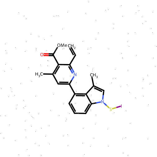 C=Cc1nc(-c2cccc3c2c(C)cn3SI)cc(C)c1C(=O)OC